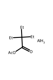 CCC(CC)(CC)C(=O)OC(C)=O.[AlH3]